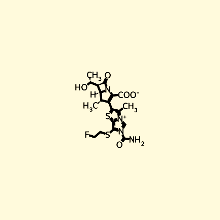 Cc1c(C2=C(C(=O)[O-])N3C(=O)[C@H]([C@@H](C)O)[C@@H]3[C@H]2C)sc2c(SCCF)n(C(N)=O)c[n+]12